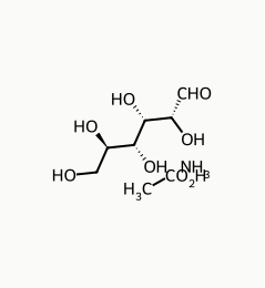 CC(=O)O.N.O=C[C@H](O)[C@@H](O)[C@H](O)[C@H](O)CO